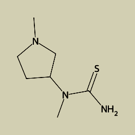 CN1CCC(N(C)C(N)=S)C1